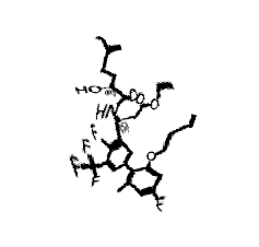 C=CCCOc1cc(F)cc(C)c1-c1cc([C@H](CC(=O)OCC)NC(=O)[C@H](O)CCC(=C)C)c(F)c(C(F)(F)F)c1